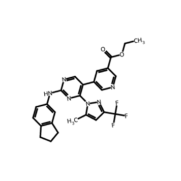 CCOC(=O)c1cncc(-c2cnc(Nc3ccc4c(c3)CCC4)nc2-n2nc(C(F)(F)F)cc2C)c1